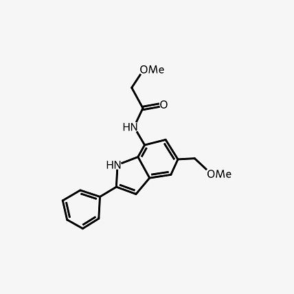 COCC(=O)Nc1cc(COC)cc2cc(-c3ccccc3)[nH]c12